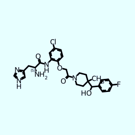 CC1(C(O)c2ccc(F)cc2)CCN(C(=O)COc2ccc(Cl)cc2NC(=O)[C@@H](N)Cc2c[nH]cn2)CC1